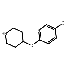 Oc1ccc(OC2CCNCC2)nc1